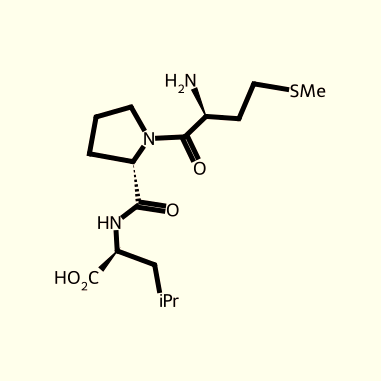 CSCC[C@H](N)C(=O)N1CCC[C@H]1C(=O)N[C@@H](CC(C)C)C(=O)O